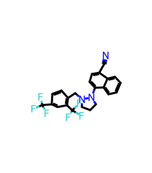 N#Cc1ccc(N2CCCN2Cc2ccc(C(F)(F)F)cc2C(F)(F)F)c2ccccc12